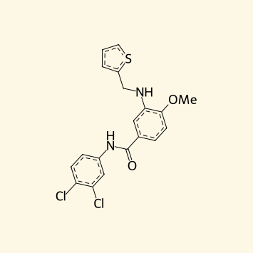 COc1ccc(C(=O)Nc2ccc(Cl)c(Cl)c2)cc1NCc1cccs1